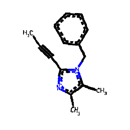 CC#Cc1nc(C)c(C)n1Cc1ccccc1